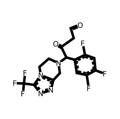 O=CCC(=O)C(c1cc(F)c(F)cc1F)N1CCn2c(nnc2C(F)(F)F)C1